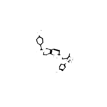 COC1CCC(C(=O)N2CCc3nc(OCc4c(C)nnn4-c4ccc(F)cc4)ccc3C2)CC1